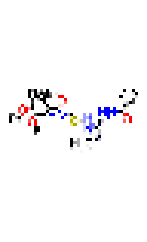 C/C=C\C(=C/CNC(=O)c1ccccc1)NCSCNC(=O)c1cc(OC)c(OCC)c(OCC)c1